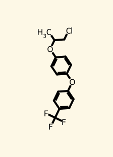 CC(CCl)Oc1ccc(Oc2ccc(C(F)(F)F)cc2)cc1